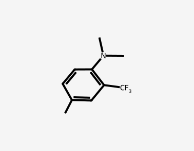 Cc1ccc(N(C)C)c(C(F)(F)F)c1